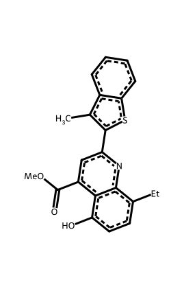 CCc1ccc(O)c2c(C(=O)OC)cc(-c3sc4ccccc4c3C)nc12